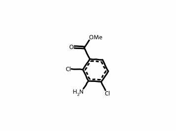 COC(=O)c1ccc(Cl)c(N)c1Cl